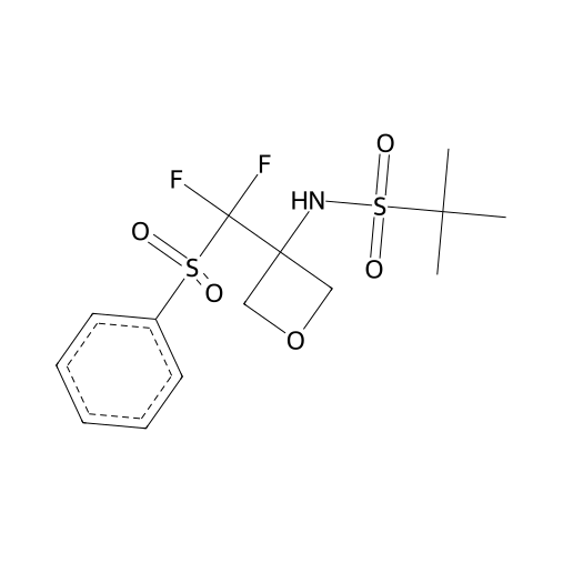 CC(C)(C)S(=O)(=O)NC1(C(F)(F)S(=O)(=O)c2ccccc2)COC1